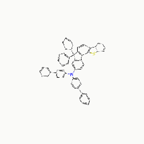 C1=CC2Sc3c(ccc4c3-c3ccc(N(c5ccc(-c6ccccc6)cc5)c5ccc(-c6ccccc6)cc5)cc3C4(c3ccccc3)C3CC=CCC3)C2C=C1